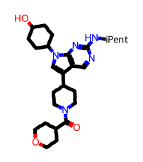 CCCC(C)Nc1ncc2c(C3CCN(C(=O)C4CCOCC4)CC3)cn(C3CCC(O)CC3)c2n1